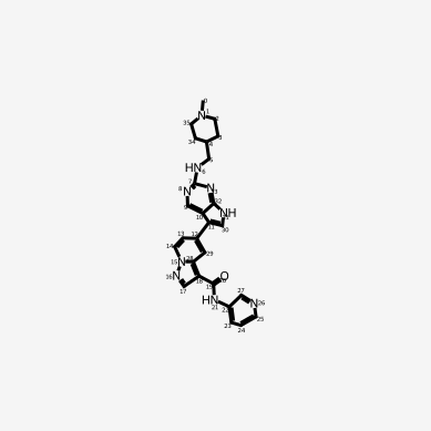 CN1CCC(CNc2ncc3c(-c4ccn5ncc(C(=O)Nc6cccnc6)c5c4)c[nH]c3n2)CC1